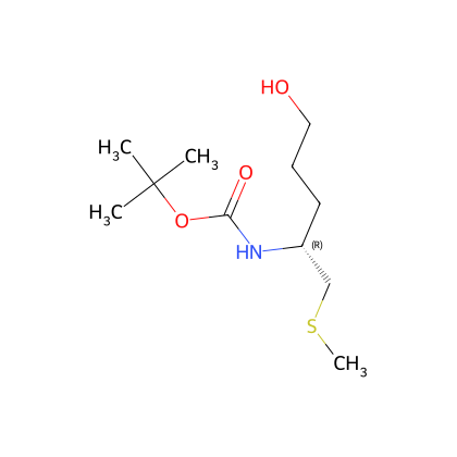 CSC[C@@H](CCCO)NC(=O)OC(C)(C)C